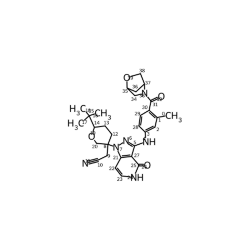 Cc1cc(Nc2nn(C3(CC#N)CCC(C(C)(C)C)OC3)c3cc[nH]c(=O)c23)ccc1C(=O)N1CC2CC1CO2